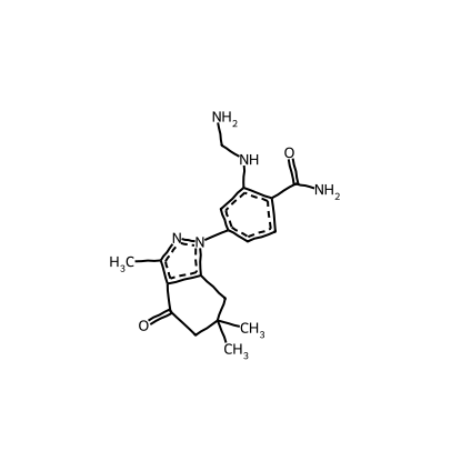 Cc1nn(-c2ccc(C(N)=O)c(NCN)c2)c2c1C(=O)CC(C)(C)C2